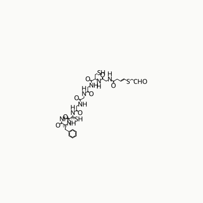 NC(=O)[C@H](Cc1ccccc1)NC(=O)[C@H](S)NC(=O)CNC(=O)CNC(=O)CNC(=O)C(CS)NC(=O)CNC(=O)CC=CSCC=O